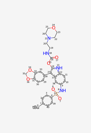 CC(C)(C)c1ccc(S(=O)(=O)Nc2ccc3[nH]c(OC(=O)NCCN4CCOCC4)c(-c4ccc5c(c4)OCO5)c3c2)cc1